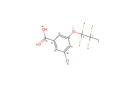 CC(F)(F)C(F)(F)Oc1cc(Cl)cc(C(=O)O)c1